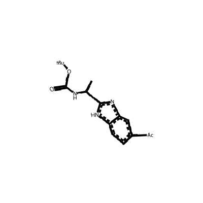 CC(=O)c1ccc2[nH]c(C(C)NC(=O)OC(C)(C)C)nc2c1